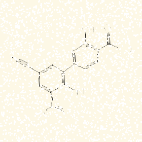 N#Cc1cc(-c2ccc(C(=O)O)c(O)c2)c(N)c([N+](=O)[O-])c1